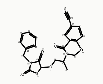 CC(COC1SC(=O)N(Cc2ccccc2)C1=O)N1COc2ccc(C#N)cc2C1=O